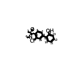 CN=S(C)(=O)c1ccc(-c2ccccc2O)cc1Cl